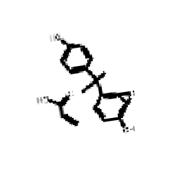 C=CC(=O)O.CC(C)(c1ccc(O)cc1)c1ccc(O)c2c1O2